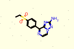 CCS(=O)(=O)c1ccc(-c2nccn3nc(N)nc23)cc1